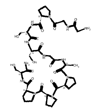 C[C@H](NC(=O)CNC(=O)[C@H](CO)NC(=O)[C@H](CO)NC(=O)[C@@H]1CCCN1C(=O)CNC(=O)CN)C(=O)N1CCC[C@H]1C(=O)N1CCC[C@H]1C(=O)N1CCC[C@H]1C(=O)N[C@@H](CO)C(N)=O